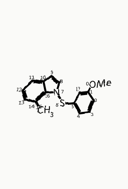 COc1cccc(Sn2ccc3cccc(C)c32)c1